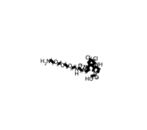 NCCOCCOCCOCCNC(=O)Cn1ccc(-c2cc(Cl)c(Cl)c3[nH]c4c(c23)CN(C(=O)CO)CC4)n1